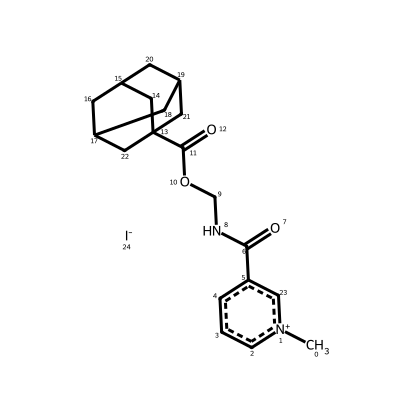 C[n+]1cccc(C(=O)NCOC(=O)C23CC4CC(CC(C4)C2)C3)c1.[I-]